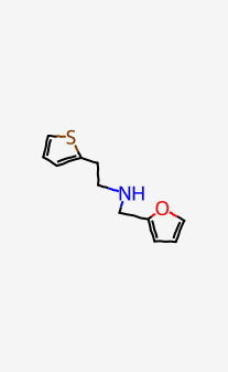 c1coc(CNCCc2cccs2)c1